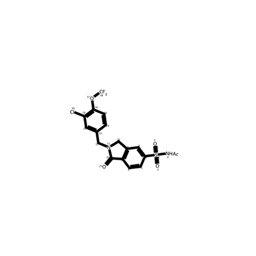 CC(=O)NS(=O)(=O)c1ccc2c(c1)CN(Cc1ccc(OC(F)(F)F)c(Cl)c1)C2=O